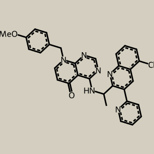 COc1ccc(Cn2ccc(=O)c3c(NC(C)c4nc5cccc(Cl)c5cc4-c4ccccn4)ncnc32)cc1